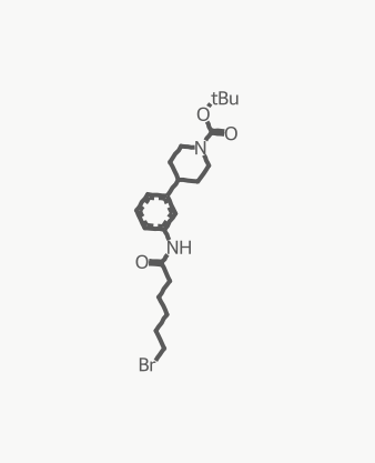 CC(C)(C)OC(=O)N1CCC(c2cccc(NC(=O)CCCCCBr)c2)CC1